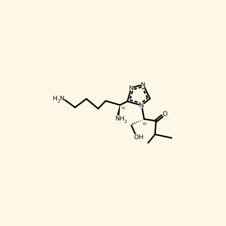 CC(C)C(=O)[C@H](CO)n1cnnc1[C@@H](N)CCCCN